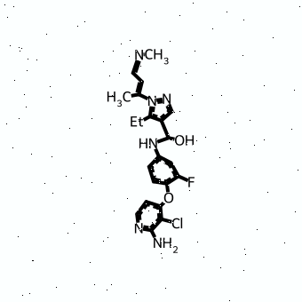 CCc1c(C(O)Nc2ccc(Oc3ccnc(N)c3Cl)c(F)c2)cnn1/C(C)=C/C=N\C